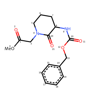 COC(=O)CN1CCCC(NC(=O)OCc2ccccc2)C1=O